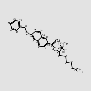 CCCCCCC(OC(=O)c1ccc2cc(OCc3ccccc3)ccc2c1)C(F)(F)F